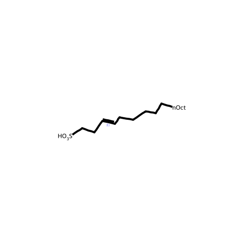 CCCCCCCCCCCCC/C=C/CCS(=O)(=O)O